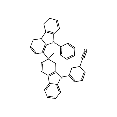 CC1(C2=C3C(CC=C2)C2=C(C=CCC2)N3c2ccccc2)C=Cc2c(n(C3=CC=CC(C#N)C3)c3ccccc23)C1